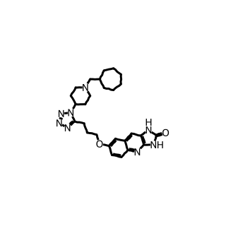 O=c1[nH]c2cc3cc(OCCCc4nnnn4C4CCN(CC5CCCCCC5)CC4)ccc3nc2[nH]1